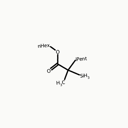 CCCCCCOC(=O)C(C)([SiH3])C(C)CCC